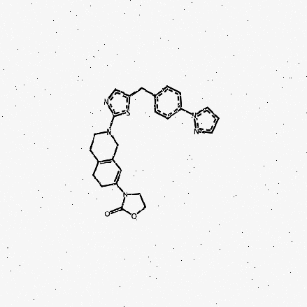 O=C1OCCN1C1=CC2=C(CC1)CCN(c1ncc(Cc3ccc(-n4cccn4)cc3)s1)C2